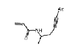 C=CC(=O)NC(C)CC#CC(C)=O